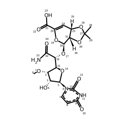 CO[C@H]1[C@@H](O)[C@H](n2ccc(=O)[nH]c2=O)O[C@@H]1[C@@H](O[C@H]1OC(C(=O)O)=C[C@@H]2OC(C)(C)O[C@H]12)C(N)=O